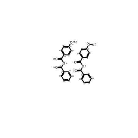 CCOc1ccc(C(=O)OC(=O)c2ccccc2)cc1.COc1ccc(C(=O)OC(=O)c2ccccc2)cc1